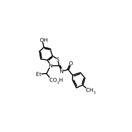 CCC(C(=O)O)n1/c(=N/C(=O)c2ccc(C)cc2)sc2cc(O)ccc21